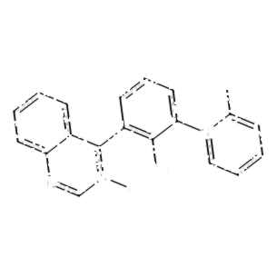 Cc1c(-c2c3ccccc3nc[n+]2C)cccc1-[n+]1ccccc1C